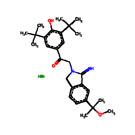 Br.COC(C)(C)c1ccc2c(c1)C(=N)N(CC(=O)c1cc(C(C)(C)C)c(O)c(C(C)(C)C)c1)C2